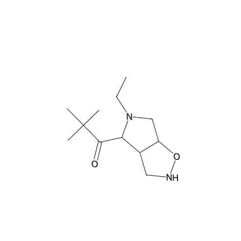 CCN1CC2ONCC2C1C(=O)C(C)(C)C